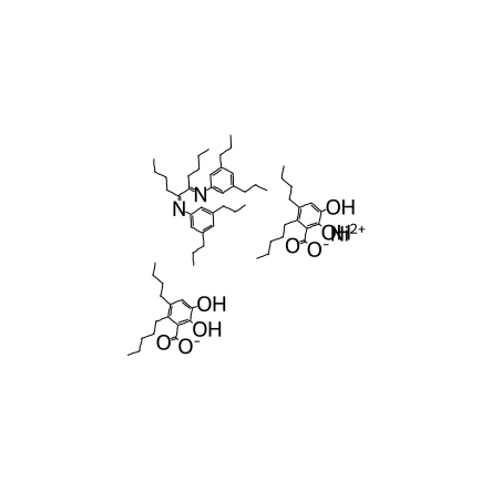 CCCCC(=Nc1cc(CCC)cc(CCC)c1)C(CCCC)=Nc1cc(CCC)cc(CCC)c1.CCCCCc1c(CCCC)cc(O)c(O)c1C(=O)[O-].CCCCCc1c(CCCC)cc(O)c(O)c1C(=O)[O-].[Ni+2]